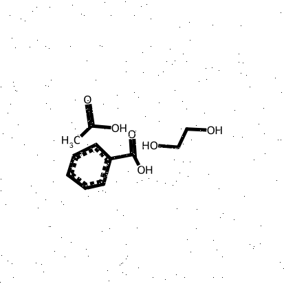 CC(=O)O.O=C(O)c1ccccc1.OCCO